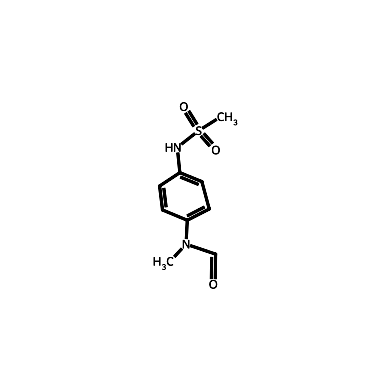 CN(C=O)c1ccc(NS(C)(=O)=O)cc1